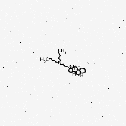 CCCCCN(CCCCC)CCCC[C@H]1CCC2[C@@H]3CC[C@@H]4CCCC[C@]4(C)C3CC[C@@]21C